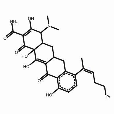 C/C(=C/CCC(C)C)c1ccc(O)c2c1CC1CC3C(N(C)C)C(O)=C(C(N)=O)C(=O)C3(O)C(O)=C1C2=O